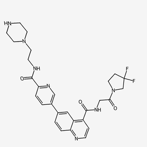 O=C(NCCN1CCNCC1)c1ccc(-c2ccc3nccc(C(=O)NCC(=O)N4CCC(F)(F)C4)c3c2)cn1